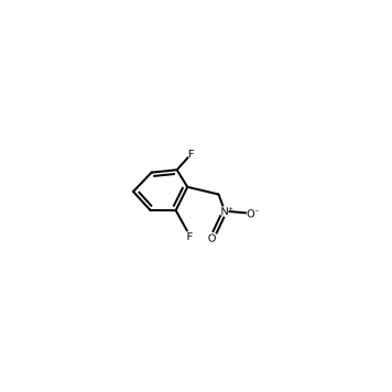 O=[N+]([O-])Cc1c(F)cccc1F